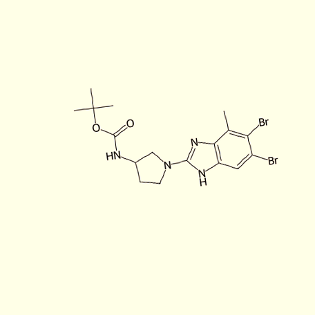 Cc1c(Br)c(Br)cc2[nH]c(N3CCC(NC(=O)OC(C)(C)C)C3)nc12